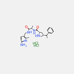 Cc1nc(N)ccc1CNC(=O)C(C)NC(=O)[C@H]1C[C@@H](C(C)c2ccccc2)CN1.Cl.Cl